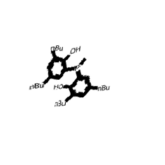 CCCCc1cc(CCCC)c(O)c(P(C)c2cc(CCCC)cc(CCCC)c2O)c1